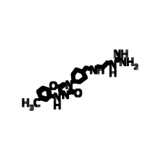 Cc1ccc2c(c1)Nc1nc(=O)n(C3CCC(CNCCCNC(=N)N)CC3)cc1O2